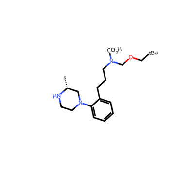 C[C@@H]1CN(c2ccccc2CCCN(COCC(C)(C)C)C(=O)O)CCN1